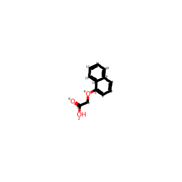 O=C(O)COc1cccc2ccccc12